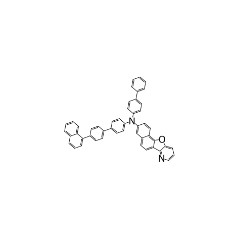 c1ccc(-c2ccc(N(c3ccc(-c4ccc(-c5cccc6ccccc56)cc4)cc3)c3ccc4c(ccc5c6ncccc6oc45)c3)cc2)cc1